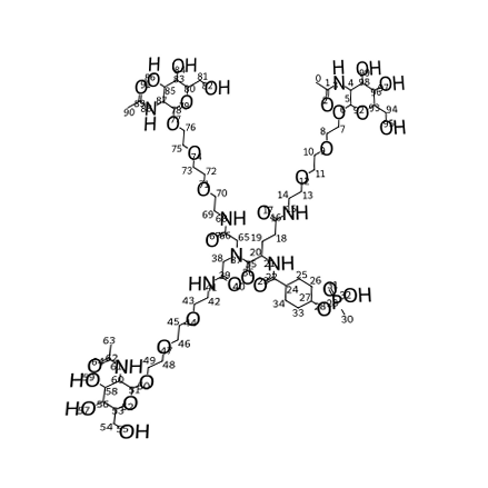 CC(=O)NC1C(OCCOCCOCCNC(=O)CCC(NC(=O)C2CCC(OP(C)(=O)O)CC2)C(=O)N(CC(=O)NCCOCCOCCOC2OC(CO)C(O)C(O)C2NC(C)=O)CC(=O)NCCOCCOCCOC2OC(CO)C(O)C(O)C2NC(C)=O)OC(CO)C(O)C1O